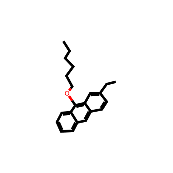 CCCCCCOc1c2ccccc2cc2ccc(CC)cc12